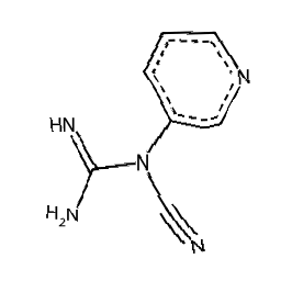 N#CN(C(=N)N)c1cccnc1